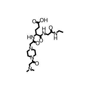 CCNC(=O)CNC(=O)C(CCC(=O)O)NC(=O)CN1CCN(C(=O)CN(C)C)CC1